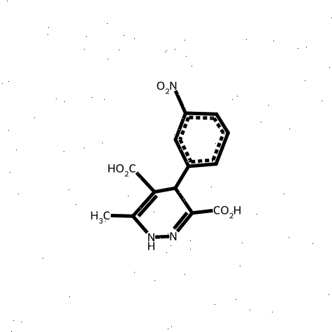 CC1=C(C(=O)O)C(c2cccc([N+](=O)[O-])c2)C(C(=O)O)=NN1